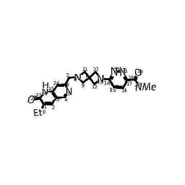 CCc1cc2cnc(CN3CC4(C3)CN(c3ccc(C(=O)NC)nn3)C4)cc2[nH]c1=O